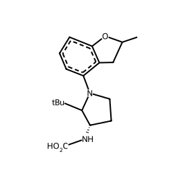 CC1Cc2c(cccc2N2CC[C@H](NC(=O)O)C2C(C)(C)C)O1